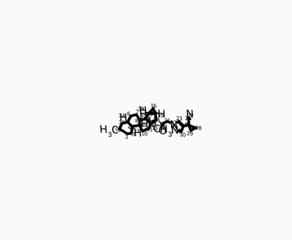 C[C@H]1CC[C@H]2[C@H](CC[C@@H]3[C@@H]2CC[C@@]2(C)[C@H]3[C@@H]3C[C@@H]3[C@@H]2C(=O)Cn2cc(C3(C#N)CC3)cn2)C1